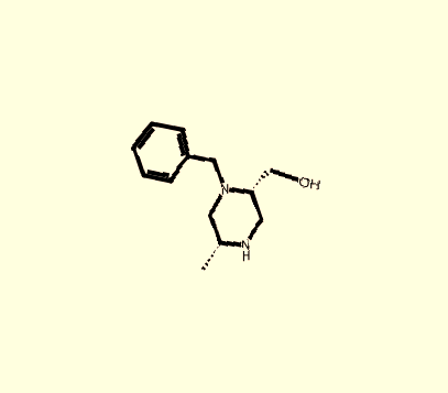 C[C@@H]1CN(Cc2ccccc2)[C@H](CO)CN1